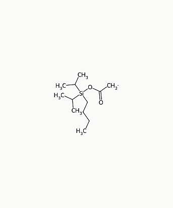 [CH2]C(=O)O[Si](CCCC)(C(C)C)C(C)C